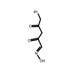 CC(C)CC(=O)CC(=O)C=NO